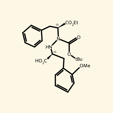 CCOC(=O)[C@H](Cc1ccccc1)N(N[C@@H](Cc1ccccc1OC)C(=O)O)C(=O)OC(C)(C)C